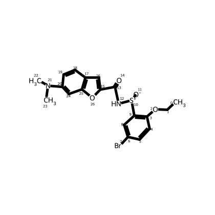 CCOc1ccc(Br)cc1[S+]([O-])NC(=O)c1cc2ccc(N(C)C)cc2o1